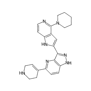 C1=C(c2ccc3[nH]nc(-c4cc5c(N6CCCCC6)nccc5[nH]4)c3n2)CCNC1